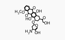 COc1cccc2c1C(=O)c1c(O)c3c(c(O)c1C2=O)CC(C(=O)CO)CC3OC1CC(N)C(O)=CO1